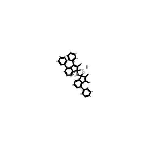 CC1=C(C)C(Cl)([SiH2]C2(Cl)C(C)=C(c3ccccc3)c3c(-c4ccccc4)cccc32)c2cccc(-c3ccccc3)c21.[Zr]